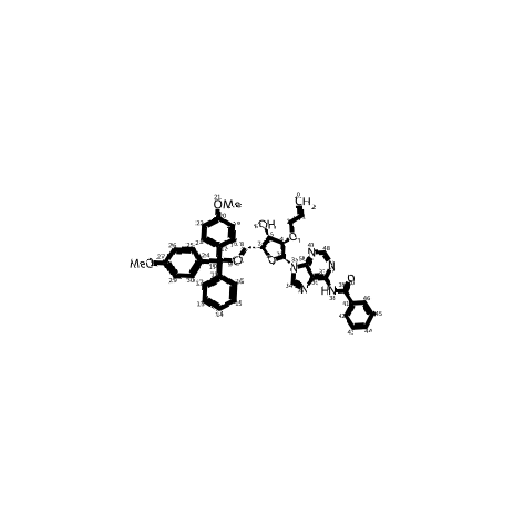 C=CCO[C@@H]1[C@H](O)[C@@H](COC(c2ccccc2)(c2ccc(OC)cc2)c2ccc(OC)cc2)O[C@H]1n1cnc2c(NC(=O)c3ccccc3)ncnc21